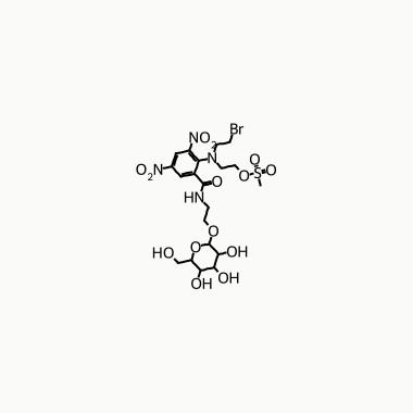 CS(=O)(=O)OCCN(CCBr)c1c(C(=O)NCCOC2OC(CO)C(O)C(O)C2O)cc([N+](=O)[O-])cc1[N+](=O)[O-]